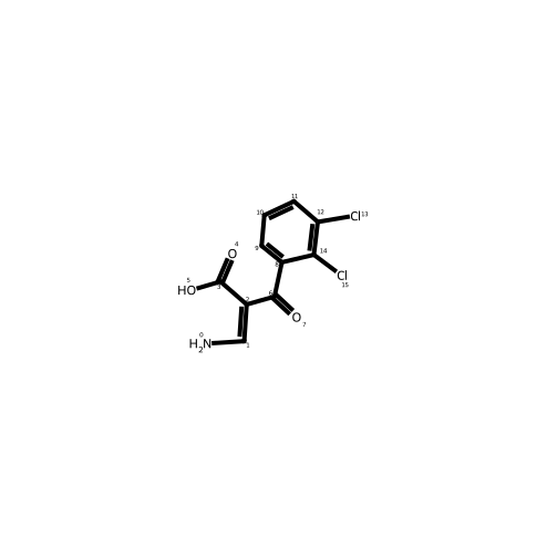 NC=C(C(=O)O)C(=O)c1cccc(Cl)c1Cl